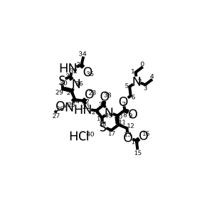 CCN(CC)CCOC(=O)C1=C(COC(C)=O)CSC2C(NC(=O)C(=NOC)c3csc(NC(C)=O)n3)C(=O)N12.Cl